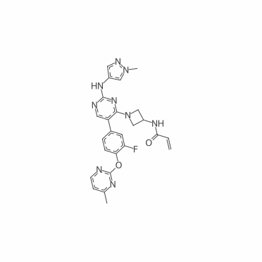 C=CC(=O)NC1CN(c2nc(Nc3cnn(C)c3)ncc2-c2ccc(Oc3nccc(C)n3)c(F)c2)C1